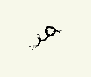 NCC(=O)Cc1cccc(Cl)c1